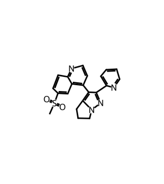 CS(=O)(=O)c1ccc2nccc(-c3c(-c4ccccn4)nn4c3CCC4)c2c1